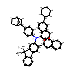 CC1(C)c2ccccc2-c2cc(-c3ccc4ccccc4c3)c(N(c3ccc(C4CC5CCC4C5)cc3)c3cccc4cc(C5CCCCC5)ccc34)cc21